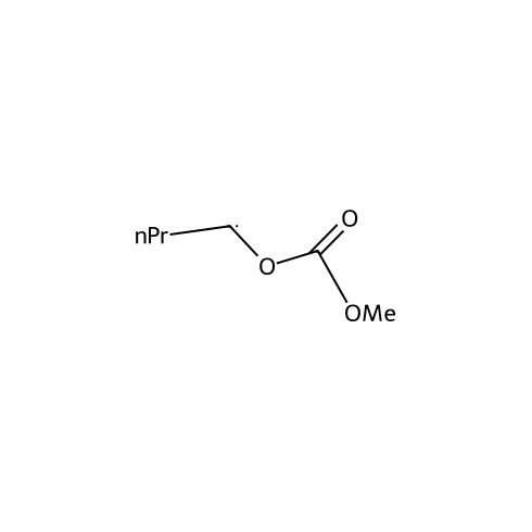 CCC[CH]OC(=O)OC